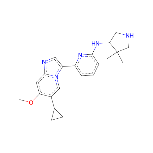 COc1cc2ncc(-c3cccc(NC4CNCC4(C)C)n3)n2cc1C1CC1